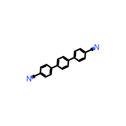 N#Cc1ccc(-c2ccc(-c3ccc(C#N)cc3)cc2)cc1